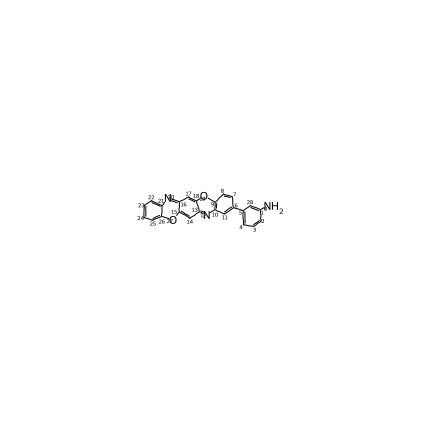 Nc1cccc(-c2ccc3c(c2)N=c2cc4c(cc2O3)=Nc2ccccc2O4)c1